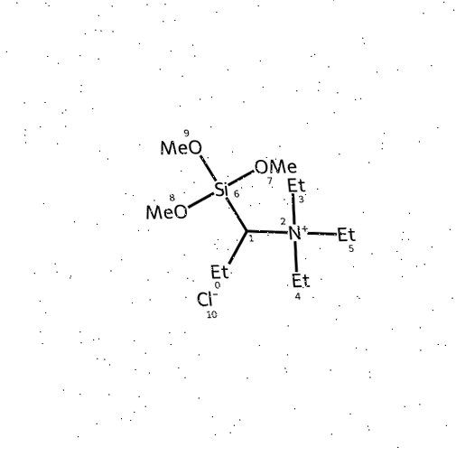 CCC([N+](CC)(CC)CC)[Si](OC)(OC)OC.[Cl-]